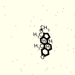 COC1CC[C@H]2[C@@H]3CCC4CC5OC5C[C@]4(C)[C@@H]3CC[C@]12C